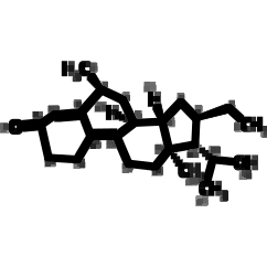 CC[C@@H]1C[C@H]2[C@@H]3C[C@H](C)C4=CC(=O)CCC4=C3CC[C@]2(C)[C@H]1C(C)O